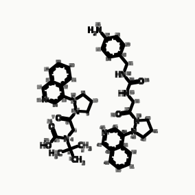 CC(C)(C)N(CC(=O)N1CCCN1c1cncc2ccccc12)C(=O)O.Nc1ccc(CNC(=O)NCC(=O)N2CCCN2c2cncc3ccccc23)cc1